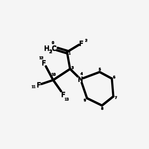 C=C(F)C(N1CCCCC1)C(F)(F)F